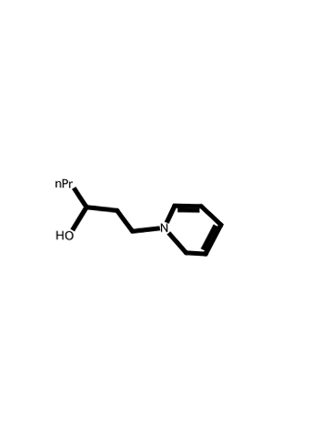 CCCC(O)CCN1C=CC=CC1